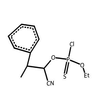 CCOP(=S)(Cl)OC(C#N)C(C)c1ccccc1